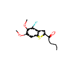 CCCC(=O)c1cc2c(F)c(OC)c(OC)cc2s1